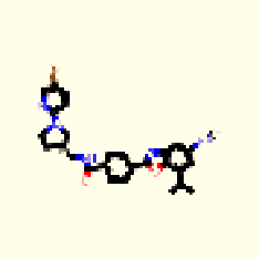 [C-]#[N+]c1cc(C(C)C)c2oc(-c3ccc(C(=O)NC[C@H]4CCN(c5ccc(Br)cn5)C4)cc3)nc2c1